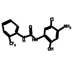 Nc1cc(O)c(NC(=O)Nc2ccccc2C(F)(F)F)cc1Cl